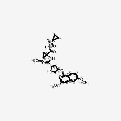 C=C[C@@H]1C[C@]1(NC(=O)[C@@H]1C[C@@H](Oc2nc(OC)cc3cc(OC)ccc23)CN1)C(=O)NS(=O)(=O)C1CC1